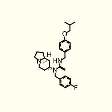 C=C(NCc1ccc(OCC(C)C)cc1)N(Cc1ccc(F)cc1)[C@@H]1CCN2CCC[C@H]2C1